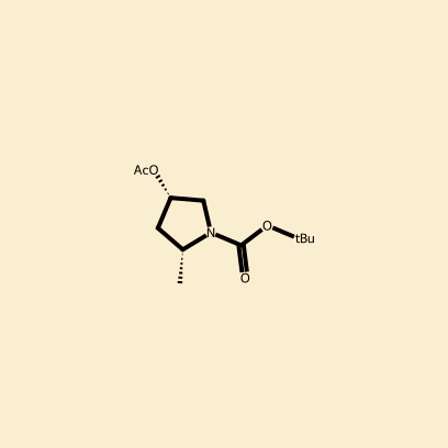 CC(=O)O[C@H]1C[C@@H](C)N(C(=O)OC(C)(C)C)C1